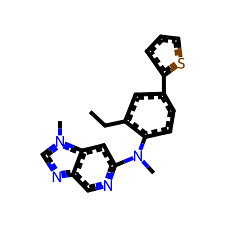 CCc1cc(-c2cccs2)ccc1N(C)c1cc2c(cn1)ncn2C